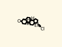 CC[C@]12CC[C@H]3[C@@H](CCC4=CC(=O)CC[C@@H]43)[C@@H]1CC[C@H]2C#CCl